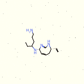 C=C[C@@H]1C/C=C\[C@H](NC(CC)CCCN)/N=C/N1